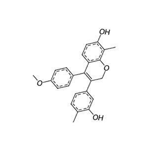 COc1ccc(C2=C(c3ccc(C)c(O)c3)COc3c2ccc(O)c3C)cc1